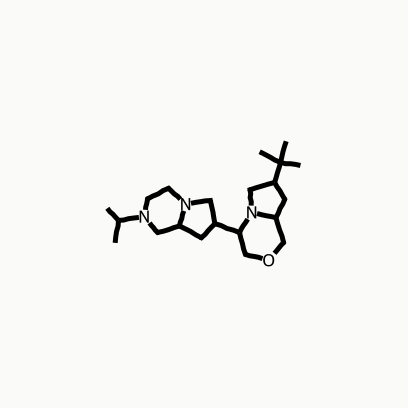 CC(C)N1CCN2CC(C3COCC4CC(C(C)(C)C)CN43)CC2C1